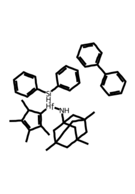 CC1=C(C)C(C)[C]([Hf]([NH]C23CC4(C)CC(C)(CC(C)(C4)C2)C3)[SiH](c2ccccc2)c2ccccc2)=C1C.c1ccc(-c2ccccc2)cc1